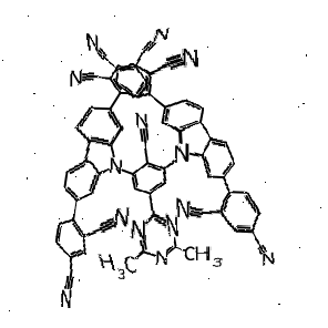 Cc1nc(C)nc(-c2cc(-n3c4cc(-c5ccc(C#N)cc5C#N)ccc4c4ccc(-c5ccc(C#N)cc5C#N)cc43)c(C#N)c(-n3c4cc(-c5ccc(C#N)cc5C#N)ccc4c4ccc(-c5ccc(C#N)cc5C#N)cc43)c2)n1